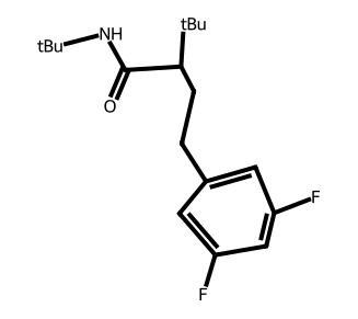 CC(C)(C)NC(=O)C(CCc1cc(F)cc(F)c1)C(C)(C)C